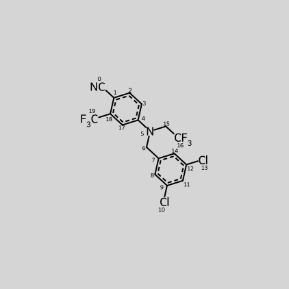 N#Cc1ccc(N(Cc2cc(Cl)cc(Cl)c2)CC(F)(F)F)cc1C(F)(F)F